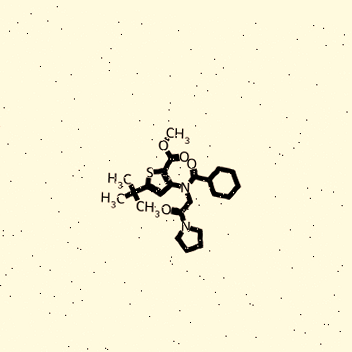 COC(=O)c1sc(C(C)(C)C)cc1N(CC(=O)N1CCCC1)C(=O)C1CCCCC1